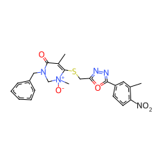 CC1=C(SCc2nnc(-c3ccc([N+](=O)[O-])c(C)c3)o2)[N+](C)([O-])CN(Cc2ccccc2)C1=O